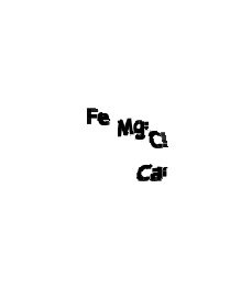 [C].[Ca].[Fe].[Mg]